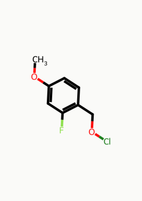 COc1ccc(COCl)c(F)c1